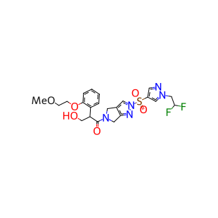 COCCOc1ccccc1C(CO)C(=O)N1Cc2cn(S(=O)(=O)c3cnn(CC(F)F)c3)nc2C1